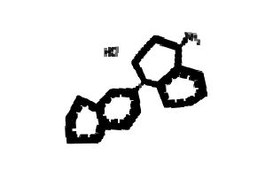 Cl.N[C@H]1CC[C@@H](c2ccc3ccccc3c2)c2ccccc21